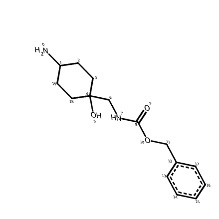 NC1CCC(O)(CNC(=O)OCc2ccccc2)CC1